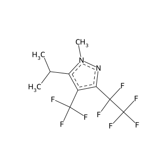 CC(C)c1c(C(F)(F)F)c(C(F)(F)C(F)(F)F)nn1C